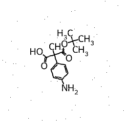 CC(C)(C)OC(=O)C(C)(C(=O)O)c1ccc(N)cc1